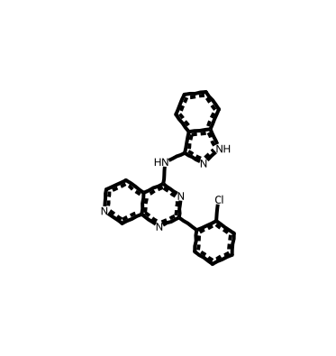 Clc1ccccc1-c1nc(Nc2n[nH]c3ccccc23)c2ccncc2n1